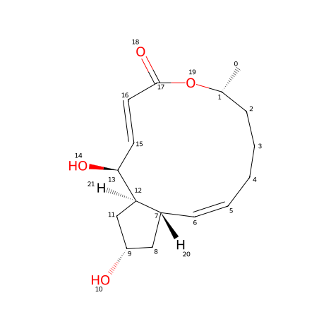 C[C@@H]1CCCC=C[C@@H]2C[C@H](O)C[C@H]2[C@@H](O)/C=C/C(=O)O1